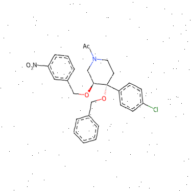 CC(=O)N1CC[C@@](OCc2ccccc2)(c2ccc(Cl)cc2)[C@@H](OCc2cccc([N+](=O)[O-])c2)C1